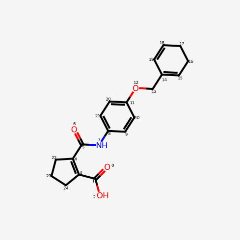 O=C(O)C1=C(C(=O)Nc2ccc(OCC3=CCCC=C3)cc2)CCC1